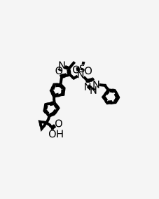 Cc1noc(-c2ccc(-c3ccc(C4(C(=O)O)CC4)cc3)cc2)c1CN(c1cn(Cc2ccccc2)nn1)S(C)(=O)=O